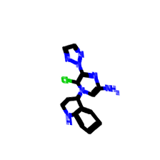 NC1=CN(C2CCNc3ccccc32)C(Cl)C(n2nccn2)=N1